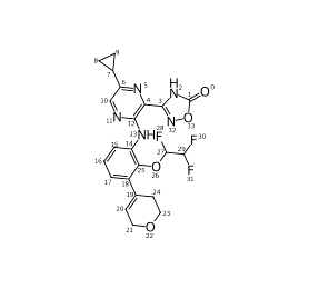 O=c1[nH]c(-c2nc(C3CC3)cnc2Nc2cccc(C3=CCOCC3)c2OC(F)C(F)F)no1